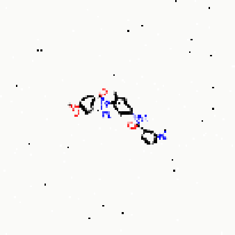 COc1ccc(C(=O)Nc2cc(NC(=O)c3cccc(N(C)C)c3)ccc2C)cc1